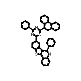 c1ccc(-c2nc(-c3ccc4sc5c6ccccc6nc(-c6ccccc6)c5c4c3)nc(-c3cc4ccccc4c4ccccc34)n2)cc1